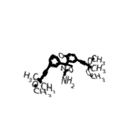 COC(C)(C)C#Cc1ccc2c(c1)C1(COC(N)=N1)c1cc(C#CC(C)(OC)OC)ccc1O2